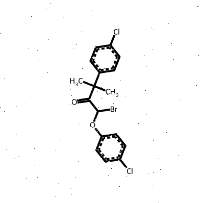 CC(C)(C(=O)C(Br)Oc1ccc(Cl)cc1)c1ccc(Cl)cc1